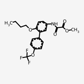 CCCCOc1ccc(NC(=O)C(=O)OC)cc1-c1ccc(OC(F)(F)F)cc1